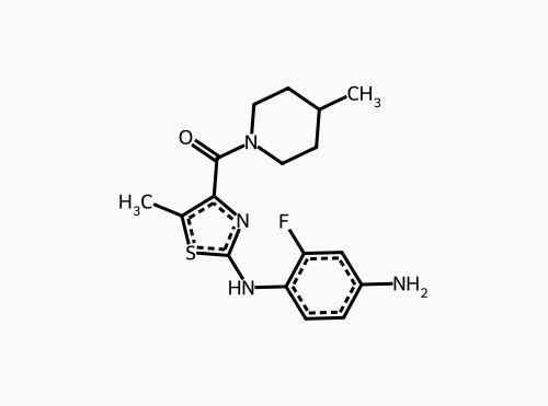 Cc1sc(Nc2ccc(N)cc2F)nc1C(=O)N1CCC(C)CC1